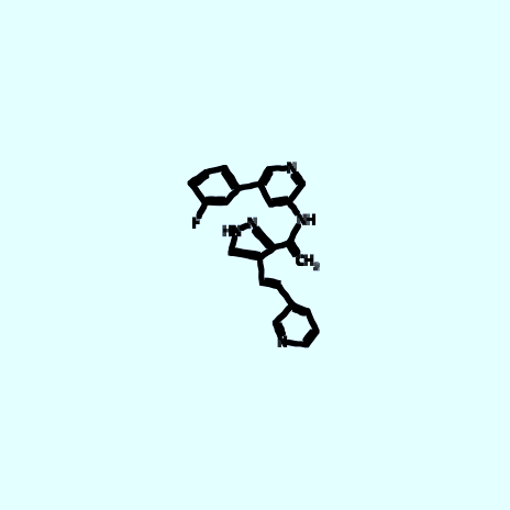 C=C(Nc1cncc(-c2cccc(F)c2)c1)c1n[nH]cc1/C=C/c1cccnc1